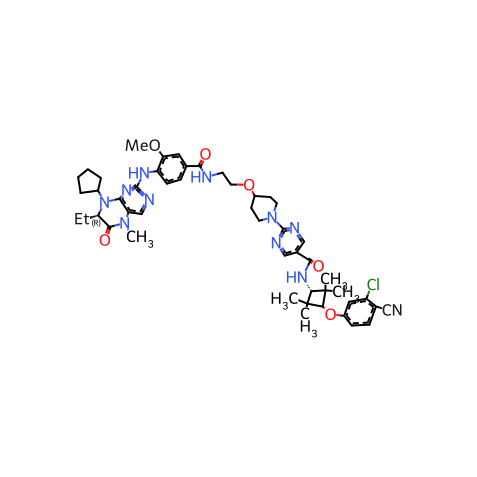 CC[C@@H]1C(=O)N(C)c2cnc(Nc3ccc(C(=O)NCCOC4CCN(c5ncc(C(=O)N[C@H]6C(C)(C)[C@H](Oc7ccc(C#N)c(Cl)c7)C6(C)C)cn5)CC4)cc3OC)nc2N1C1CCCC1